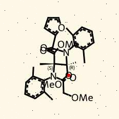 COCC(=O)N(c1c(C)cccc1C)[C@](C)(C(=O)OC)[C@](C)(C(=O)OC)N(C(=O)c1ccco1)c1c(C)cccc1C